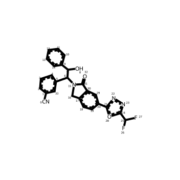 N#Cc1cccc(C(C(O)c2ccccc2)N2Cc3ccc(-c4nnc(C(F)F)o4)cc3C2=O)c1